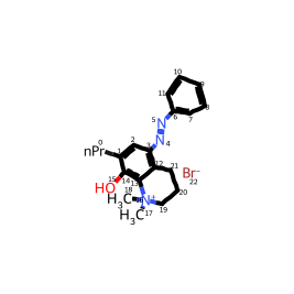 CCCc1cc(/N=N/c2ccccc2)c2c(c1O)[N+](C)(C)CCC2.[Br-]